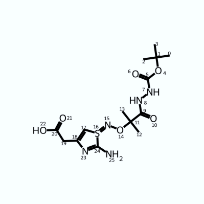 CC(C)(C)OC(=O)NNC(=O)C(C)(C)O/N=S1/C=C(CC(=O)O)N=C1N